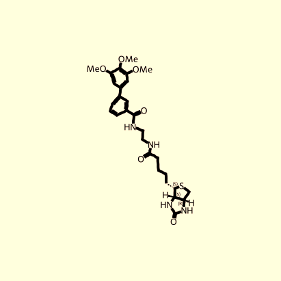 COc1cc(-c2cccc(C(=O)NCCNC(=O)CCCC[C@@H]3SC[C@@H]4NC(=O)N[C@@H]43)c2)cc(OC)c1OC